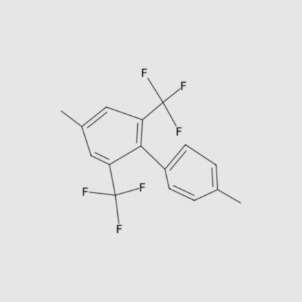 Cc1ccc(-c2c(C(F)(F)F)cc(C)cc2C(F)(F)F)cc1